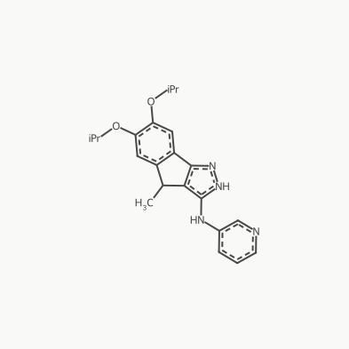 CC(C)Oc1cc2c(cc1OC(C)C)C(C)c1c-2n[nH]c1Nc1cccnc1